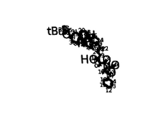 CC(C(=O)N1C(=O)O[C@@H](c2ccccc2)[C@H]1C)[C@H](O)CC[C@@H](C)[C@H]1CC[C@H]2[C@@H]3CC=C4C[C@@H](O[Si](C)(C)C(C)(C)C)CC[C@]4(C)[C@H]3CC[C@]12C